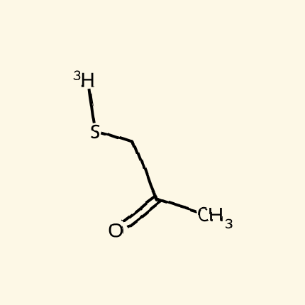 [3H]SCC(C)=O